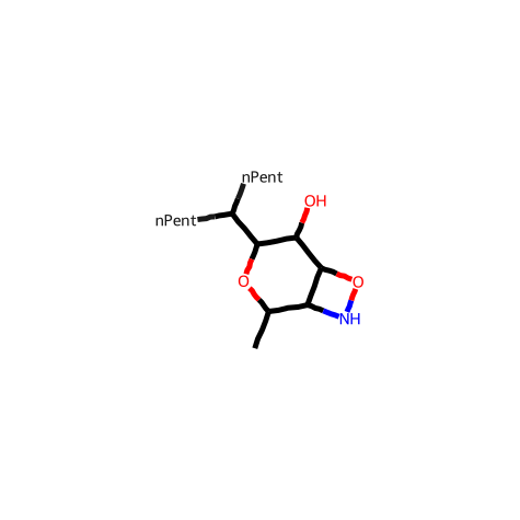 CCCCCC(CCCCC)C1OC(C)C2NOC2C1O